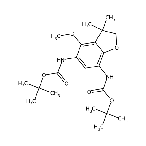 COc1c(NC(=O)OC(C)(C)C)cc(NC(=O)OC(C)(C)C)c2c1C(C)(C)CO2